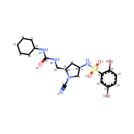 N#CN1C[C@H](NS(=O)(=O)c2cc(Br)ccc2Br)C[C@@H]1CNC(=O)NC1CCCCC1